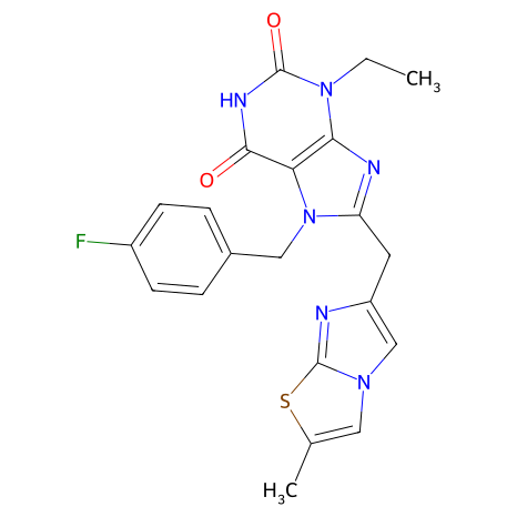 CCn1c(=O)[nH]c(=O)c2c1nc(Cc1cn3cc(C)sc3n1)n2Cc1ccc(F)cc1